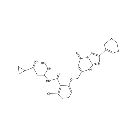 CC(C)(C)NC(CC(=N)C1CC1)NC(=O)C1=C(Cl)CCC=C1OCc1cc(=O)n2nc(C3=CCCCC3)nc2[nH]1